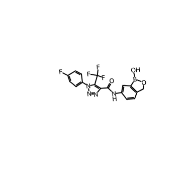 O=C(Nc1ccc2c(c1)B(O)OC2)c1nnn(-c2ccc(F)cc2)c1C(F)(F)F